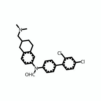 CN(C)CC1CCc2cc(N(C=O)c3ccc(-c4ccc(Cl)cc4Cl)cc3)ccc2C1